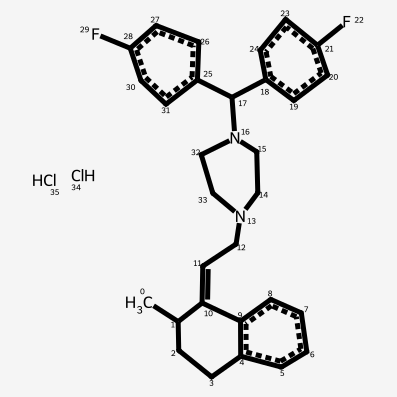 CC1CCc2ccccc2/C1=C\CN1CCN(C(c2ccc(F)cc2)c2ccc(F)cc2)CC1.Cl.Cl